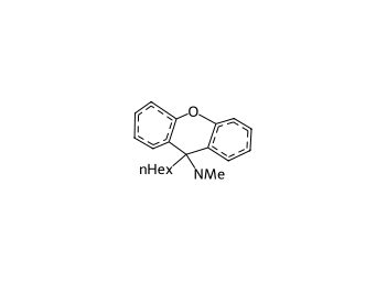 CCCCCCC1(NC)c2ccccc2Oc2ccccc21